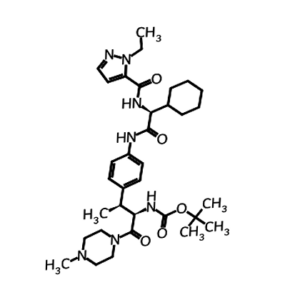 CCn1nccc1C(=O)N[C@H](C(=O)Nc1ccc([C@H](C)[C@@H](NC(=O)OC(C)(C)C)C(=O)N2CCN(C)CC2)cc1)C1CCCCC1